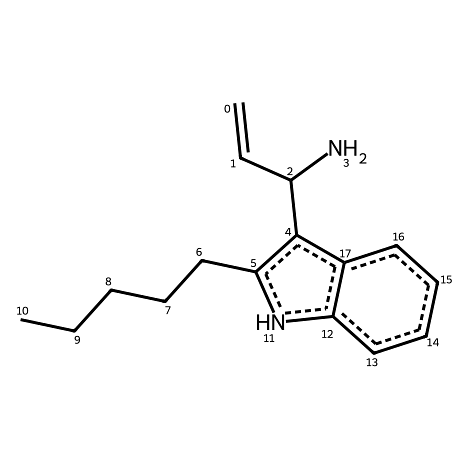 C=CC(N)c1c(CCCCC)[nH]c2ccccc12